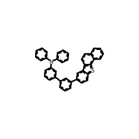 c1ccc(N(c2ccccc2)c2cccc(-c3cccc(-c4ccc5sc6c7ccccc7ccc6c5c4)c3)c2)cc1